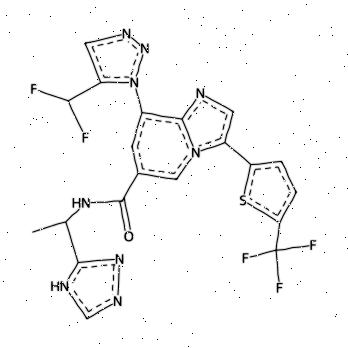 CC(NC(=O)c1cc(-n2nncc2C(F)F)c2ncc(-c3ccc(C(F)(F)F)s3)n2c1)c1nnc[nH]1